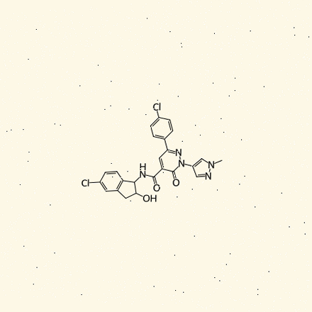 Cn1cc(-n2nc(-c3ccc(Cl)cc3)cc(C(=O)NC3c4ccc(Cl)cc4CC3O)c2=O)cn1